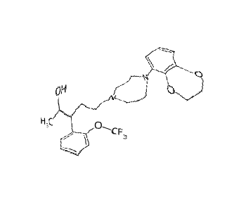 CC(O)C(CCN1CCN(c2cccc3c2OCCO3)CC1)c1ccccc1OC(F)(F)F